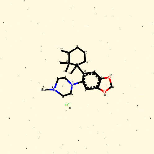 CCCCN1CCN(c2cc3c(cc2C2(C)CCCC(C)C2(C)C)OCO3)CC1.Cl